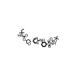 CCC(C)(C)NC(=O)O[C@H]1CO[C@@H](c2cnc(Nc3cccc(S(=O)(=O)NC(=O)OC(C)(C)C)c3)nc2)C1